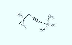 CC1(CC#C[Si](C)(C)C)CC1